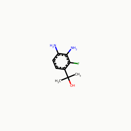 CC(C)(O)c1ccc(N)c(N)c1F